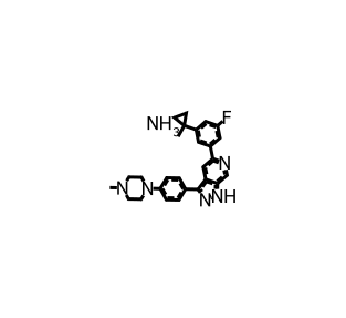 CN1CCN(c2ccc(-c3n[nH]c4cnc(-c5cc(F)cc(C6(C)CC6)c5)cc34)cc2)CC1.N